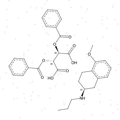 CCCN[C@H]1CCc2c(cccc2OC)C1.O=C(O[C@@H](C(=O)O)[C@@H](OC(=O)c1ccccc1)C(=O)O)c1ccccc1